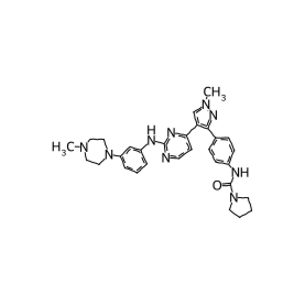 CN1CCN(c2cccc(Nc3nccc(-c4cn(C)nc4-c4ccc(NC(=O)N5CCCC5)cc4)n3)c2)CC1